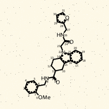 COc1ccccc1CNC(=O)C1CCc2c(c3ccccc3n2CC(=O)NCc2ccco2)C1